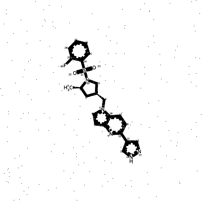 C[C@@H]1C[C@H](Cn2ccc3nc(-c4cn[nH]c4)ccc32)CN1S(=O)(=O)c1ccccc1F